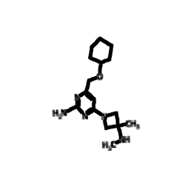 CNC1(C)CN(c2cc(COC3CCCCC3)nc(N)n2)C1